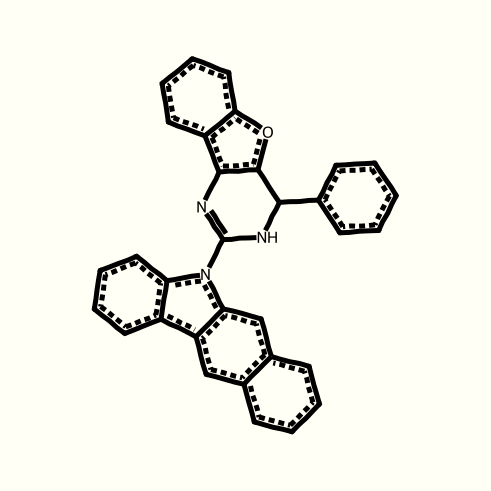 c1ccc(C2NC(n3c4ccccc4c4cc5ccccc5cc43)=Nc3c2oc2ccccc32)cc1